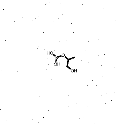 CC(CO)OB(O)O